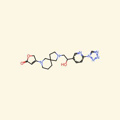 O=C1C=C(N2CCCC3(CCN(CC(O)c4ccc(-n5cnnn5)nc4)C3)C2)CO1